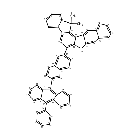 CC1(C)c2ccccc2-c2cc(-c3ccc4cc(-c5c6ccccc6c(-c6ccccc6)c6ccccc56)ccc4c3)c3sc4cc5ccccc5cc4c3c21